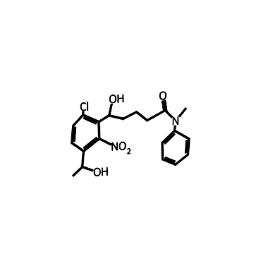 CC(O)c1ccc(Cl)c(C(O)CCCC(=O)N(C)c2ccccc2)c1[N+](=O)[O-]